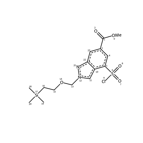 COC(=O)c1cc(S(=O)(=O)Cl)c2cn(COCC[Si](C)(C)C)nc2c1